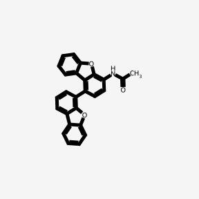 CC(=O)Nc1ccc(-c2cccc3c2oc2ccccc23)c2c1oc1ccccc12